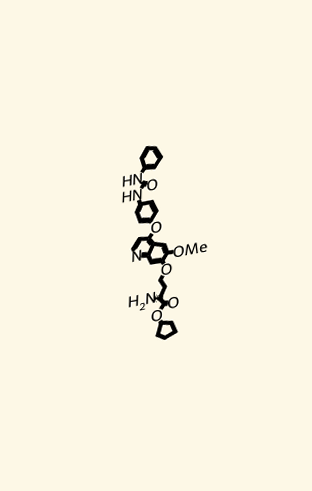 COc1cc2c(Oc3ccc(NC(=O)Nc4ccccc4)cc3)ccnc2cc1OCC[C@H](N)C(=O)OC1CCCC1